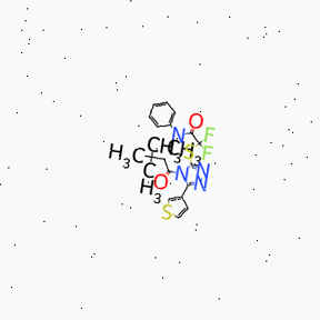 CN(C(=O)C(F)(F)Sc1nnc(-c2ccsc2)n1C(=O)CC(C)(C)C)c1ccccc1